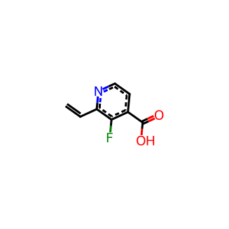 C=Cc1nccc(C(=O)O)c1F